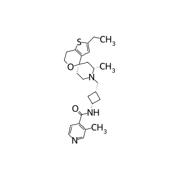 CCc1cc2c(s1)CCO[C@@]21CCN(C[C@H]2C[C@@H](NC(=O)c3ccncc3C)C2)[C@@H](C)C1